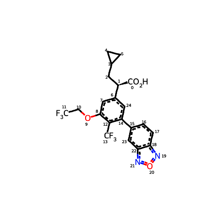 O=C(O)[C@H](CC1CC1)c1cc(OCC(F)(F)F)c(C(F)(F)F)c(-c2ccc3nonc3c2)c1